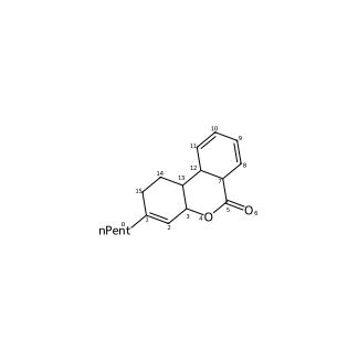 CCCCCC1=CC2OC(=O)C3C=CC=CC3C2CC1